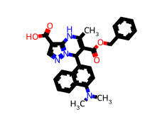 CC1=C(C(=O)OCc2ccccc2)C(c2ccc(N(C)C)c3ccccc23)n2ncc(C(=O)O)c2N1